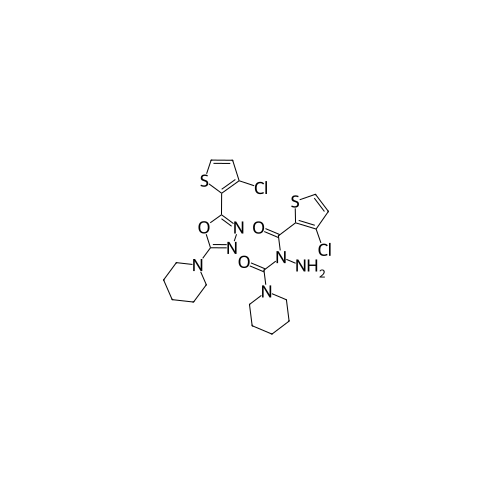 Clc1ccsc1-c1nnc(N2CCCCC2)o1.NN(C(=O)c1sccc1Cl)C(=O)N1CCCCC1